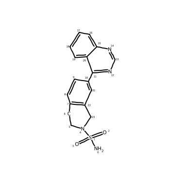 NS(=O)(=O)N1CCc2ccc(-c3ncnc4ccccc34)cc2C1